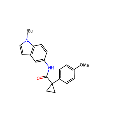 COc1ccc(C2(C(=O)Nc3ccc4c(ccn4C(C)(C)C)c3)CC2)cc1